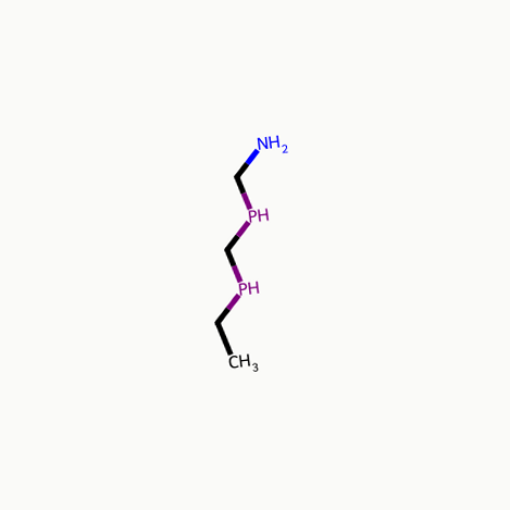 CCPCPCN